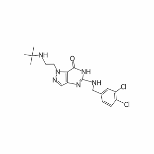 CC(C)(C)NCCn1ncc2nc(NCc3ccc(Cl)c(Cl)c3)[nH]c(=O)c21